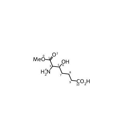 COC(=O)C(N)C(O)CCCC(=O)O